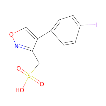 Cc1onc(CS(=O)(=O)O)c1-c1ccc(I)cc1